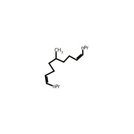 CCC/C=C\CCC(C)CC/C=C\CCC